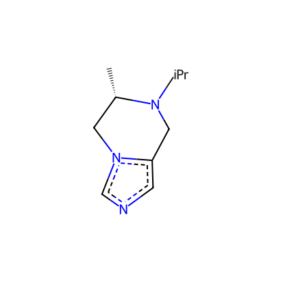 CC(C)N1Cc2cncn2C[C@@H]1C